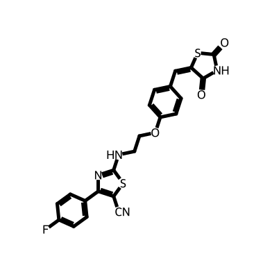 N#Cc1sc(NCCOc2ccc(/C=C3/SC(=O)NC3=O)cc2)nc1-c1ccc(F)cc1